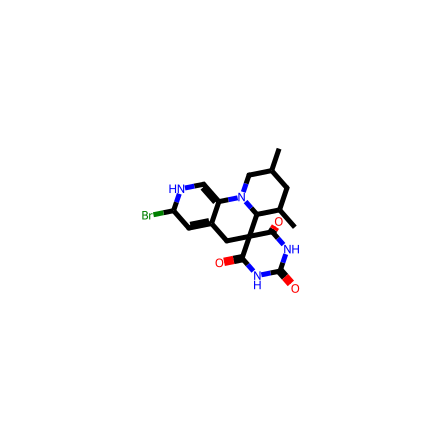 CC1CC(C)C2N(C1)C1=CNC(Br)C=C1CC21C(=O)NC(=O)NC1=O